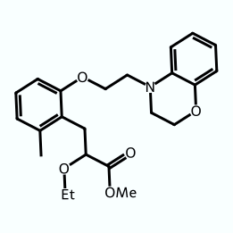 CCOC(Cc1c(C)cccc1OCCN1CCOc2ccccc21)C(=O)OC